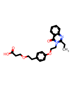 CCc1nc2ccccc2c(=O)n1CCOc1ccc(CCOCCC(=O)O)cc1